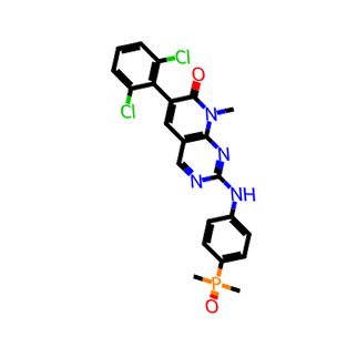 Cn1c(=O)c(-c2c(Cl)cccc2Cl)cc2cnc(Nc3ccc(P(C)(C)=O)cc3)nc21